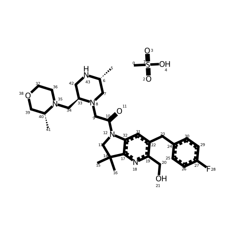 CS(=O)(=O)O.C[C@@H]1CN(CC(=O)N2CC(C)(C)c3nc(CO)c(Cc4ccc(F)cc4)cc32)[C@@H](CN2CCOC[C@H]2C)CN1